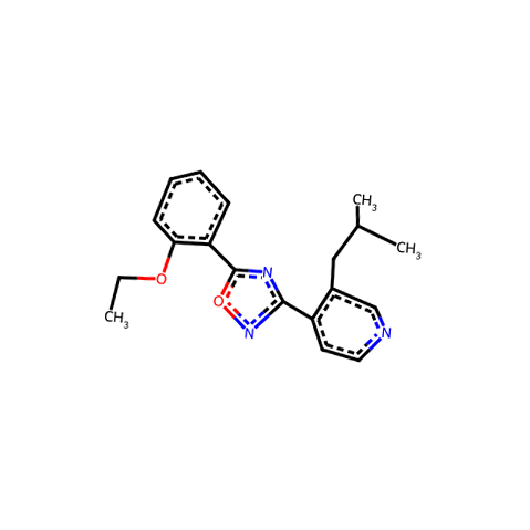 CCOc1ccccc1-c1nc(-c2ccncc2CC(C)C)no1